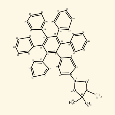 CC1OB(c2ccc(-c3c(-c4ccccc4)c(-c4ccccc4)c(-c4ccccc4)c(-c4ccccc4)c3-c3ccccc3)cc2)OC1(C)C